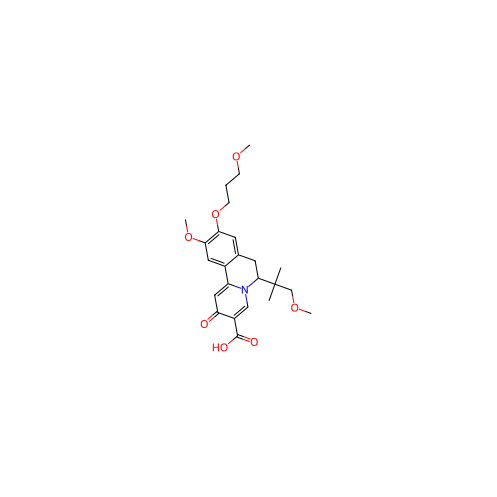 COCCCOc1cc2c(cc1OC)-c1cc(=O)c(C(=O)O)cn1C(C(C)(C)COC)C2